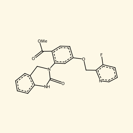 COC(=O)c1ccc(OCc2ncccc2F)cc1N1Cc2ccccc2NC1=O